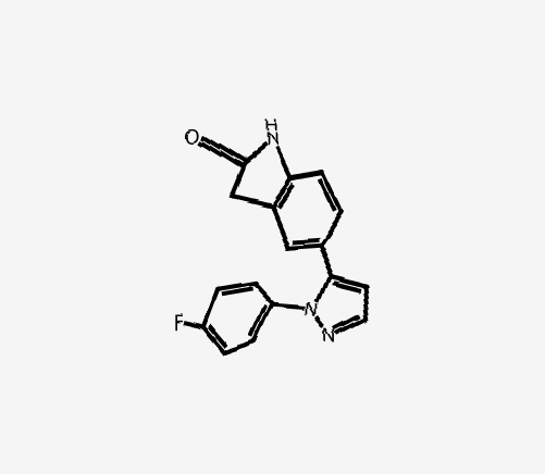 O=C1Cc2cc(-c3ccnn3-c3ccc(F)cc3)ccc2N1